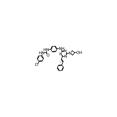 O=C(Nc1ccc(Cl)cc1)Nc1ccc(Nc2nc(/C=C/c3ccccc3)nc(N3CC(O)C3)n2)cc1